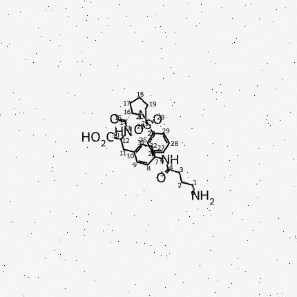 NCCCC(=O)Nc1ccc(C[C@H](NC(=O)[C@@H]2CCCN2S(=O)(=O)c2ccccc2)C(=O)O)cc1